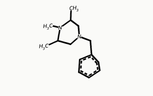 CC1CN(Cc2ccccc2)CC(C)N1C